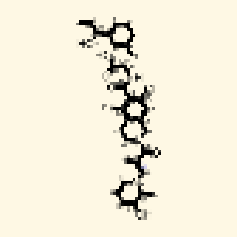 C=C[C@H](O)C1=CCCC(C[C@H](NC(=O)c2c(Cl)cc3c(c2I)CCN(C(=O)/C(C)=C/N2C=CC=C(O)C2=C)C3)C(=O)O)=C1